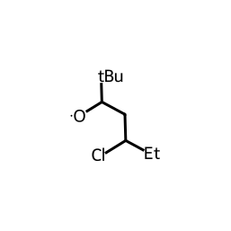 CCC(Cl)CC([O])C(C)(C)C